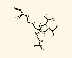 C=CC(=O)OCCC[Si](OCC(C)C)(OCC(C)C)OCC(C)C